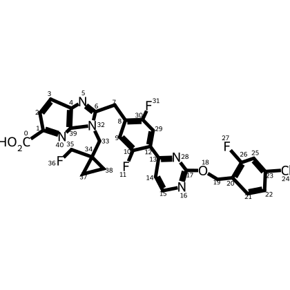 O=C(O)c1ccc2nc(Cc3cc(F)c(-c4ccnc(OCc5ccc(Cl)cc5F)n4)cc3F)n(CC3(CF)CC3)c2n1